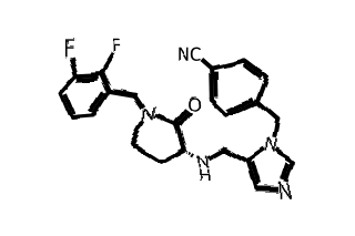 N#Cc1ccc(Cn2cncc2CN[C@@H]2CCN(Cc3cccc(F)c3F)C2=O)cc1